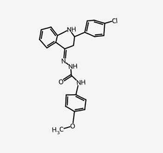 COc1ccc(NC(=O)NN=C2CC(c3ccc(Cl)cc3)Nc3ccccc32)cc1